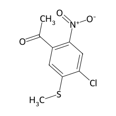 CSc1cc(C(C)=O)c([N+](=O)[O-])cc1Cl